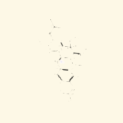 CCC(CCC(C)Cl)CN1C(=O)C(CC)(CC)C(=O)N(CC)/C1=N\c1ccc(OC(C)C)cc1